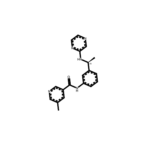 Cc1cncc(C(=O)Nc2cccc([C@H](C)Nc3cnccn3)c2)c1